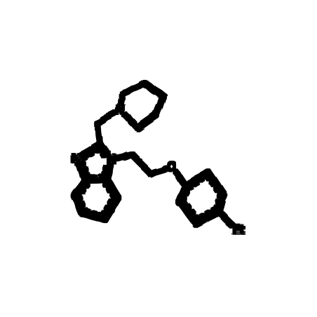 CCc1ccc(OCCn2c(CN3CCCCC3)nc3ccccc32)cc1